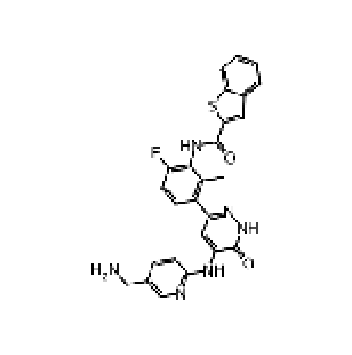 Cc1c(-c2cc(Nc3ccc(CN)cn3)c(=O)[nH]n2)ccc(F)c1NC(=O)c1cc2ccccc2s1